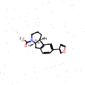 O=C(N1CCC[C@@H]2c3cc(-c4ccoc4)ccc3C[C@@H]21)C(F)(F)F